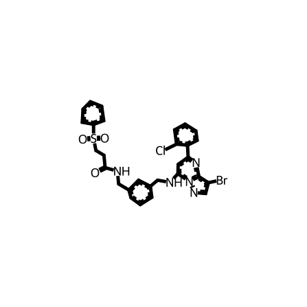 O=C(CCS(=O)(=O)c1ccccc1)NCc1cccc(CNc2cc(-c3ccccc3Cl)nc3c(Br)cnn23)c1